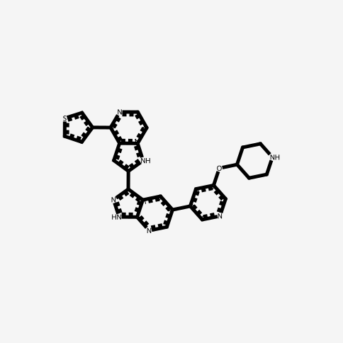 c1cc2[nH]c(-c3n[nH]c4ncc(-c5cncc(OC6CCNCC6)c5)cc34)cc2c(-c2ccsc2)n1